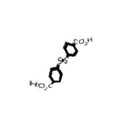 O=C(O)C1CCC(SSC2CCC(C(=O)O)CC2)CC1